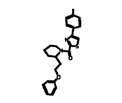 Cc1ccc(-c2csc(C(=O)N3CCCCC3CCOc3ccccc3)n2)cc1